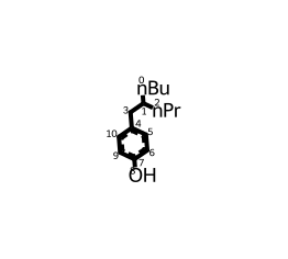 CCCCC(CCC)Cc1ccc(O)cc1